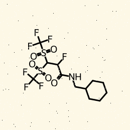 O=C(NCC1CCCCC1)C(F)C(S(=O)(=O)C(F)(F)F)S(=O)(=O)C(F)(F)F